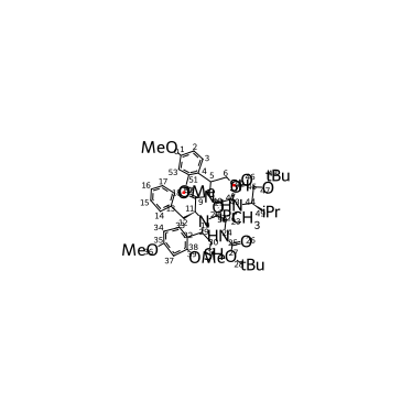 COc1ccc(C(CS)N(C(=O)[C@H](Cc2ccccc2)N(C(=O)[C@H](C)NC(=O)OC(C)(C)C)C(CS)c2ccc(OC)cc2OC)[C@H](C(=O)N[C@@H](C(=O)OC(C)(C)C)C(C)C)C(C)C)c(OC)c1